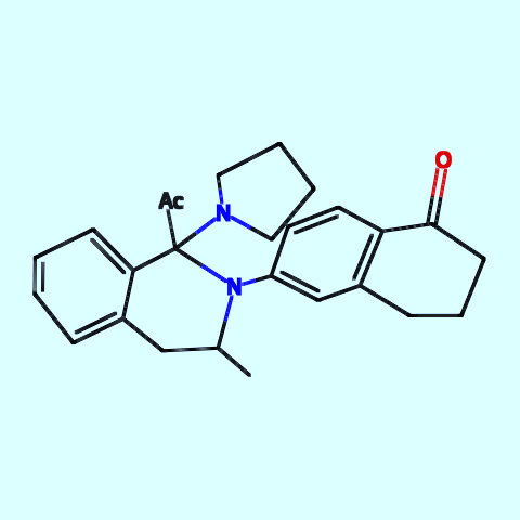 CC(=O)C1(N2CCCC2)c2ccccc2CC(C)N1c1ccc2c(c1)CCCC2=O